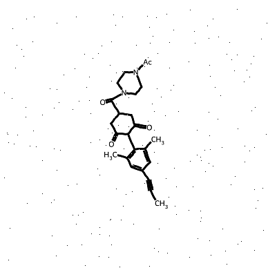 CC#Cc1cc(C)c(C2C(=O)CC(C(=O)N3CCN(C(C)=O)CC3)CC2=O)c(C)c1